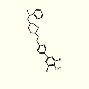 CCCc1c(F)cc(-c2ccc(CCC3CCC(C[C@@H](C)c4ccccc4)CC3)cc2)cc1F